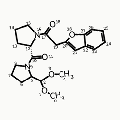 COC(OC)C1CCCN1C(=O)[C@@H]1CCCN1C(=O)Cc1cc2ccccc2o1